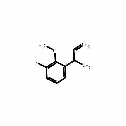 C=C[C](C)c1cccc(F)c1OC